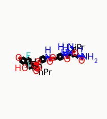 CCCC1O[C@@H]2C[C@H]3[C@@H]4C[C@H](F)C5=CC(=O)C=C[C@]5(C)[C@@]4(F)[C@@H](O)C[C@]3(C)[C@]2(C(=O)COc2ccc(NC(=O)OCc3ccc(NC(=O)[C@H](CCCNC(N)=O)NC(=O)[C@@H](N)C(C)C)cc3)cc2)O1